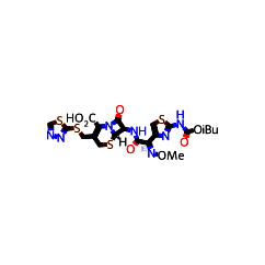 CO/N=C(/C(=O)NC1C(=O)N2C(C(=O)O)=C(CSc3nncs3)CS[C@H]12)c1csc(NC(=O)OCC(C)C)n1